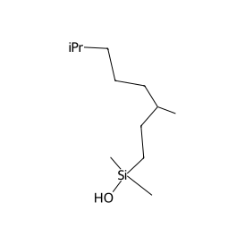 CC(C)CCCC(C)CC[Si](C)(C)O